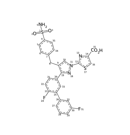 NS(=O)(=O)c1ccc(Cc2cn(-c3nc(C(=O)O)cs3)nc2-c2ccc(F)c(-c3cccc(F)c3)c2)cc1